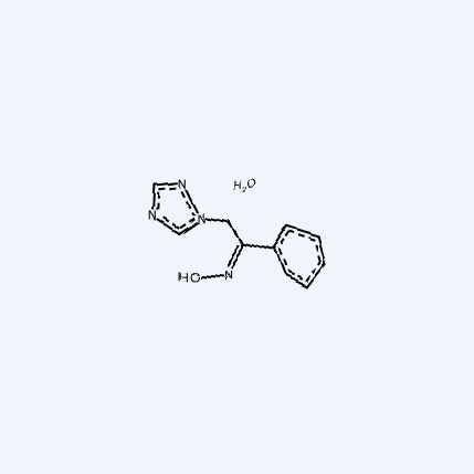 O.ON=C(Cn1cncn1)c1ccccc1